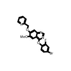 COc1cc2c(Oc3ccc(Br)cc3F)ncnc2cc1OCc1ccccn1